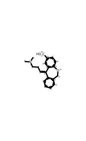 CN(C)CCC=C1c2ccccc2COc2ccc(C(=O)O)cc21